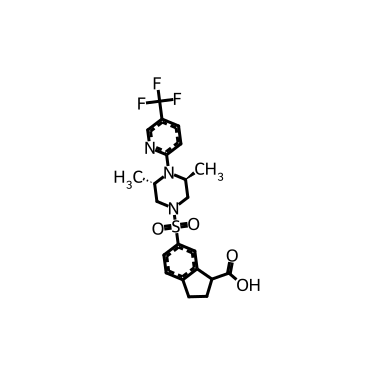 C[C@H]1CN(S(=O)(=O)c2ccc3c(c2)C(C(=O)O)CC3)C[C@H](C)N1c1ccc(C(F)(F)F)cn1